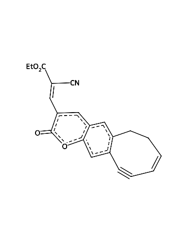 CCOC(=O)C(C#N)=Cc1cc2cc3c(cc2oc1=O)C#C/C=C\CC3